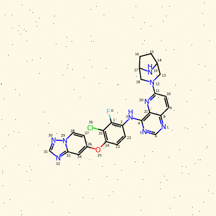 Fc1c(Nc2ncnc3ccc(N4CC5CCC(C4)N5)nc23)ccc(Oc2ccn3ncnc3c2)c1Cl